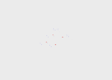 Nc1nc(N)c(C2CC3CCC(C2)N3c2ccc3ccccc3c2)c(=O)[nH]1